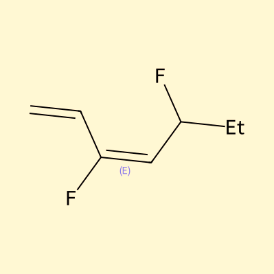 C=C/C(F)=C\C(F)CC